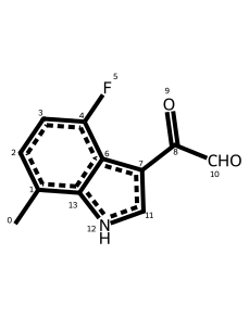 Cc1ccc(F)c2c(C(=O)C=O)c[nH]c12